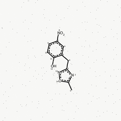 Cc1nc(Cc2cc([N+](=O)[O-])ccc2O)no1